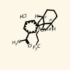 COC1(c2cccc(C(N)=O)c2)[C@@H]2CCC[C@H]1CN(CCC(F)(F)F)C2.Cl